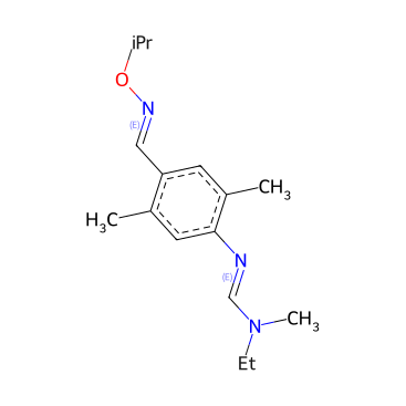 CCN(C)/C=N/c1cc(C)c(/C=N/OC(C)C)cc1C